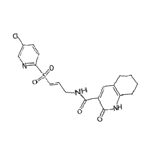 O=C(NC/C=C/S(=O)(=O)c1ccc(Cl)cn1)c1cc2c([nH]c1=O)CCCC2